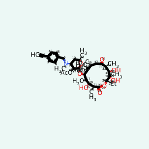 C#Cc1ccc(CN(C)[C@H]2C[C@@H](C)O[C@@H](O[C@@H]3[C@@H](C)[C@H](O)[C@@H](C)C(=O)O[C@H](CC)[C@@](C)(O)[C@H](O)[C@@H](C)C(=O)C[C@@H](C)[C@@]3(C)OC)[C@@H]2OC(C)=O)cc1